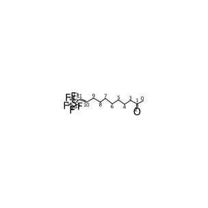 CC(=O)CCCCCCC/C=C/S(F)(F)(F)(F)F